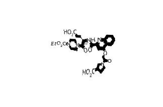 CCOC(=O)N1CCN(C(=O)[C@H](CCC(=O)O)NC(=O)c2cc(OCC(=O)N3CCC(C(=O)O)C3)c3ccccc3n2)CC1